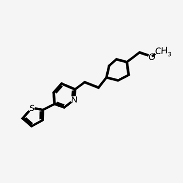 COCC1CCC(CCc2ccc(-c3cccs3)cn2)CC1